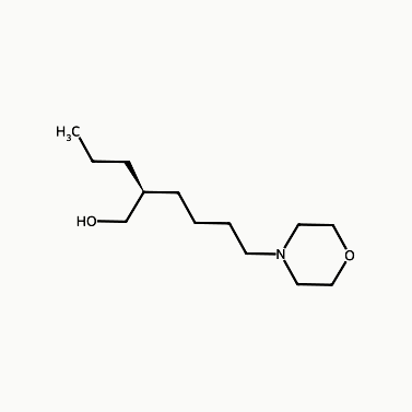 CCC[C@H](CO)CCCCN1CCOCC1